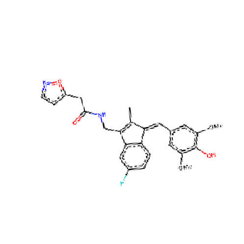 COc1cc(/C=C2/C(C)=C(CNC(=O)Cc3ccno3)c3cc(F)ccc32)cc(OC)c1O